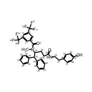 CN(C(=O)c1cc(C(F)(F)F)cc(C(F)(F)F)c1)C(CCC(=O)NCCc1ccc(O)cc1)C(c1ccccc1)c1ccccc1